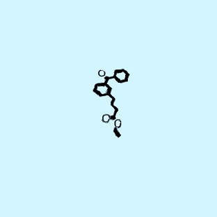 C=COC(=O)CCCc1cccc(C(=O)c2ccccc2)c1